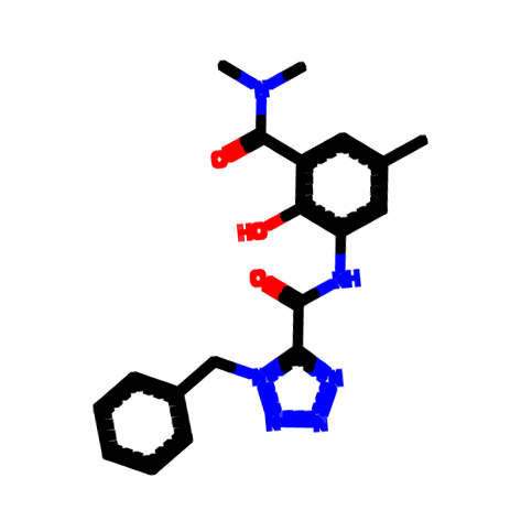 Cc1cc(NC(=O)c2nnnn2Cc2ccccc2)c(O)c(C(=O)N(C)C)c1